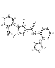 Cc1cc(C(=O)Nc2ccccc2-n2cccc2)c(C)n1-c1ccccc1C(F)(F)F